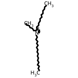 CCCCCCCCCCCCCCCCCCC[n+]1ccn(CCCCCCCCCCCCC)c1CCCCCC